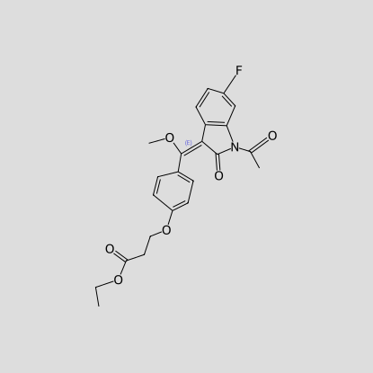 CCOC(=O)CCOc1ccc(/C(OC)=C2\C(=O)N(C(C)=O)c3cc(F)ccc32)cc1